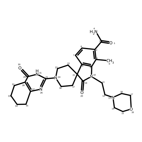 Cc1c(C(N)=O)ccc2c1N(CCN1CCOCC1)C(=O)C21CCN(c2nc3c(c(=O)[nH]2)CCCC3)CC1